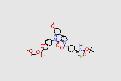 COC1CCC([C@H]2CCN(C(=O)[C@H]3CC[C@H]([C@@H](CF)NC(=O)OC(C)(C)C)CC3)[C@H]2C(=O)Nc2ccc3oc(C(=O)OC[C@H](C)OC)cc3c2)CC1